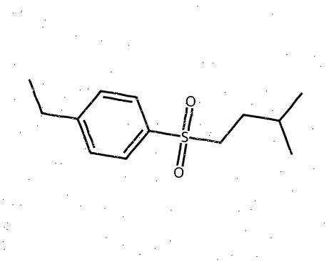 CCc1ccc(S(=O)(=O)CCC(C)C)cc1